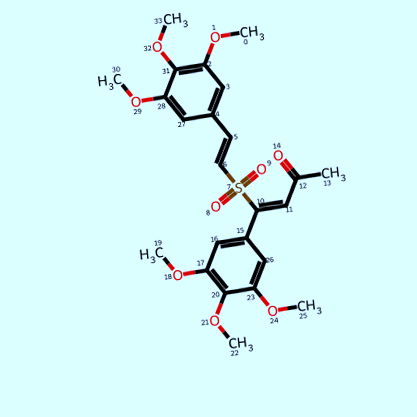 COc1cc(C=CS(=O)(=O)/C(=C\C(C)=O)c2cc(OC)c(OC)c(OC)c2)cc(OC)c1OC